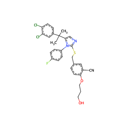 CC(C)(c1ccc(Cl)c(Cl)c1)c1cnc(SCc2ccc(OCCCO)c(C#N)c2)n1-c1ccc(F)cc1